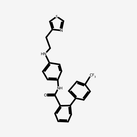 O=C(Nc1ccc(NCCc2cscn2)cc1)c1ccccc1-c1ccc(C(F)(F)F)cc1